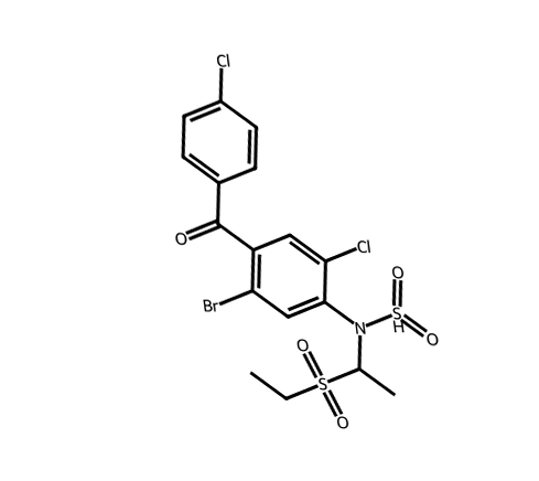 CCS(=O)(=O)C(C)N(c1cc(Br)c(C(=O)c2ccc(Cl)cc2)cc1Cl)[SH](=O)=O